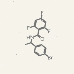 CC(NC(=O)c1c(F)cc(F)cc1F)c1ccc(Br)cc1